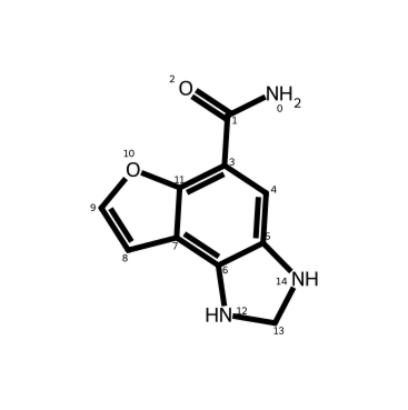 NC(=O)c1cc2c(c3ccoc13)NCN2